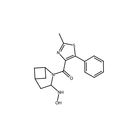 Cc1nc(C(=O)N2C3CC(C3)CC2NO)c(-c2ccccc2)s1